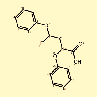 O=C(O)N(CC(F)Oc1ccccc1)Oc1ccccc1